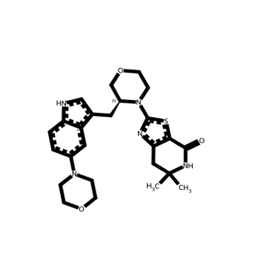 CC1(C)Cc2nc(N3CCOC[C@@H]3Cc3c[nH]c4ccc(N5CCOCC5)cc34)sc2C(=O)N1